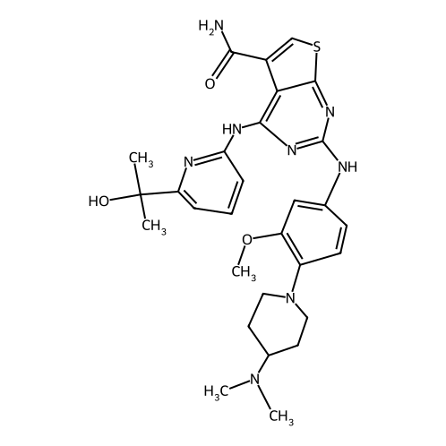 COc1cc(Nc2nc(Nc3cccc(C(C)(C)O)n3)c3c(C(N)=O)csc3n2)ccc1N1CCC(N(C)C)CC1